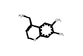 Cc1cc2c(cc1C)C(CN)=CCO2